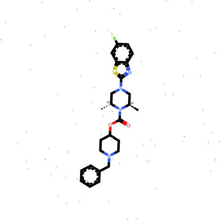 C[C@@H]1CN(c2nc3ccc(F)cc3s2)C[C@@H](C)N1C(=O)OC1CCN(Cc2ccccc2)CC1